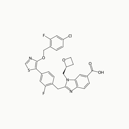 O=C(O)c1ccc2nc(Cc3ccc(-c4scnc4OCc4ccc(Cl)cc4F)cc3F)n(C[C@@H]3CCO3)c2c1